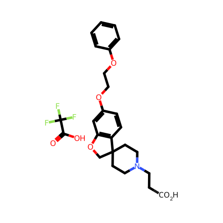 O=C(O)C(F)(F)F.O=C(O)CCN1CCC2(CC1)COc1cc(OCCOc3ccccc3)ccc12